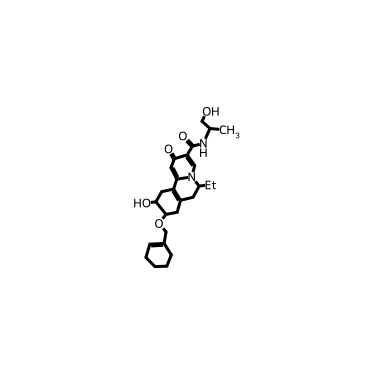 CCC1CC2=C(CC(O)C(OCC3=CCCCC3)C2)c2cc(=O)c(C(=O)NC(C)CO)cn21